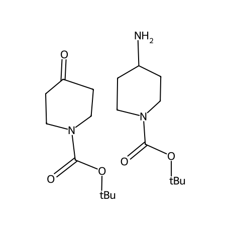 CC(C)(C)OC(=O)N1CCC(=O)CC1.CC(C)(C)OC(=O)N1CCC(N)CC1